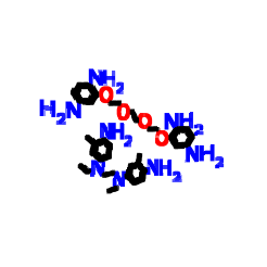 CCN(CCN(CC)c1ccc(N)c(C)c1)c1ccc(N)c(C)c1.Nc1ccc(N)c(OCCOCCOCCOc2cc(N)ccc2N)c1